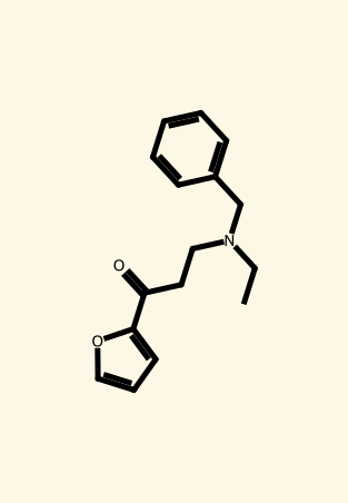 CCN(CCC(=O)c1ccco1)Cc1ccccc1